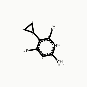 Cc1cc(F)c(C2CC2)c(Br)n1